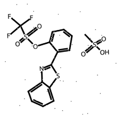 CS(=O)(=O)O.O=S(=O)(Oc1ccccc1-c1nc2ccccc2s1)C(F)(F)F